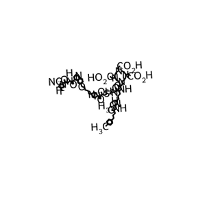 C/C(=N\CCCCC(NC(=O)CN1CCN(CC(=O)O)CCN(CC(=O)O)CCN(CC(=O)O)CC1)C(=O)NCCSCC(O)C(=O)N1CCN(CCCCOc2ccc3nccc(C(=O)NCC(=O)N4CC(F)(F)C[C@@H]4C#N)c3c2)CC1)NC(=O)CCCc1ccc(C)cc1